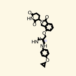 N=N/C(=C\Nc1ccc(OC2CC2)cc1)COc1cccc2c1CN(C1CCC(=O)NC1=O)C2=O